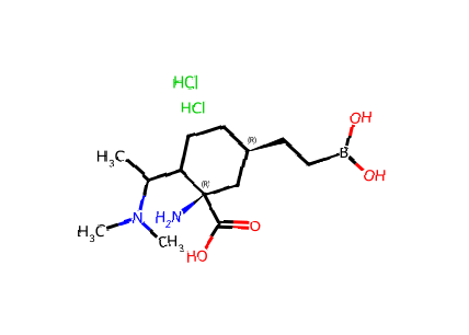 CC(C1CC[C@@H](CCB(O)O)C[C@]1(N)C(=O)O)N(C)C.Cl.Cl